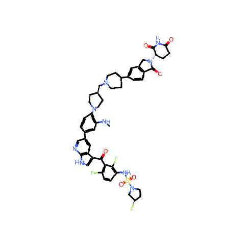 CNc1cc(-c2cnc3[nH]cc(C(=O)c4c(F)ccc(NS(=O)(=O)N5CC[C@@H](F)C5)c4F)c3c2)ccc1N1CCC(CN2CCC(c3ccc4c(c3)CN([C@H]3CCC(=O)NC3=O)C4=O)CC2)CC1